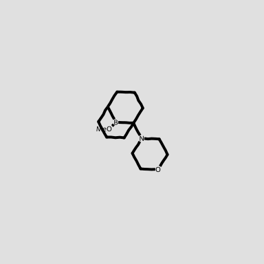 COB1C2CCCC1(N1CCOCC1)CCC2